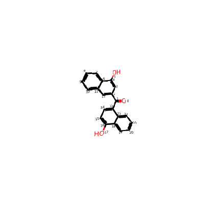 O=C(c1cc(O)c2ccccc2c1)c1ccc(O)c2ccccc12